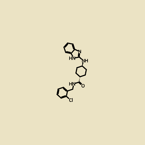 O=C(NCc1ccccc1Cl)[C@H]1CC[C@H](Nc2nc3ccccc3[nH]2)CC1